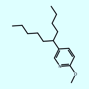 CCCCCC(CCCC)c1ccc(OC)nc1